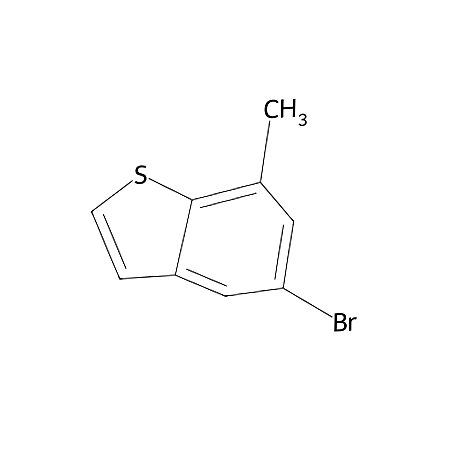 Cc1cc(Br)cc2ccsc12